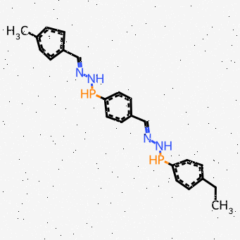 CCc1ccc(PN/N=C/c2ccc(PN/N=C/c3ccc(C)cc3)cc2)cc1